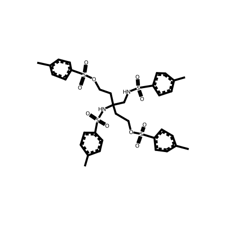 Cc1ccc(S(=O)(=O)NCC(CCOS(=O)(=O)c2ccc(C)cc2)(CCOS(=O)(=O)c2ccc(C)cc2)NS(=O)(=O)c2ccc(C)cc2)cc1